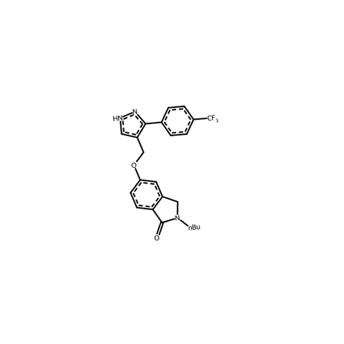 CCCCN1Cc2cc(OCc3c[nH]nc3-c3ccc(C(F)(F)F)cc3)ccc2C1=O